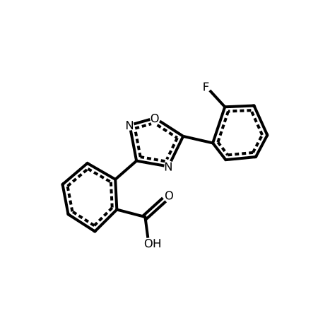 O=C(O)c1ccccc1-c1noc(-c2ccccc2F)n1